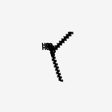 CCCCCCCCCCCCCCCCOCC(COP(=O)(O)O)OC(=O)CCCCCCCCCCCCCCC